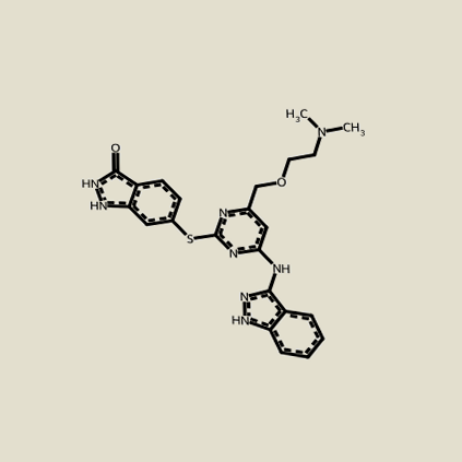 CN(C)CCOCc1cc(Nc2n[nH]c3ccccc23)nc(Sc2ccc3c(=O)[nH][nH]c3c2)n1